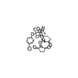 CC(C)(Oc1ccc(Cl)cc1)C(=O)O.O=C1CCC(=O)N1ON1C(=O)CCC1=O